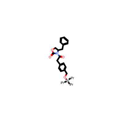 CC(C)[Si](OCc1ccc(CC(=O)N2C(=O)OCC2Cc2ccccc2)cc1)(C(C)C)C(C)C